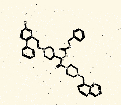 O=C(N[C@@H](C(=O)N1CCN(Cc2cccc3cccnc23)CC1)C1CCN(CCc2cc(Cl)ccc2-c2ccccc2)CC1)OCc1ccccc1